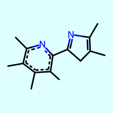 CC1=C(C)N=C(c2nc(C)c(C)c(C)c2C)C1